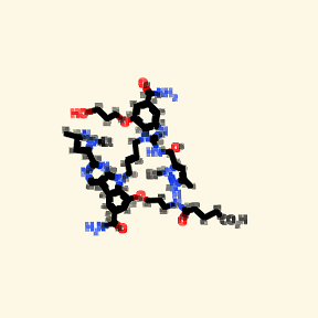 CCn1nc(C)cc1C(=O)Nc1nc2cc(C(N)=O)cc(OCCCO)c2n1CC=CCn1c2nc(-c3cc(C)nn3CC)ncc2c2cc(C(N)=O)cc(OCCCNC(=O)CCCC(=O)O)c21